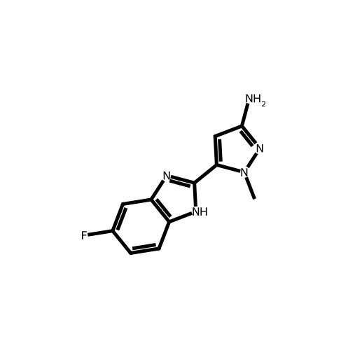 Cn1nc(N)cc1-c1nc2cc(F)ccc2[nH]1